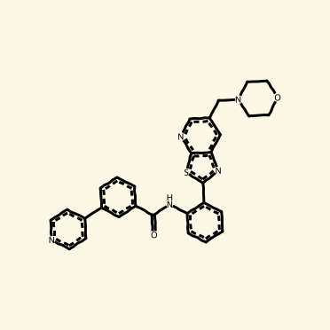 O=C(Nc1ccccc1-c1nc2cc(CN3CCOCC3)cnc2s1)c1cccc(-c2ccncc2)c1